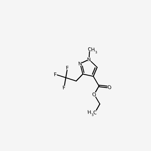 CCOC(=O)c1cn(C)nc1CC(F)(F)F